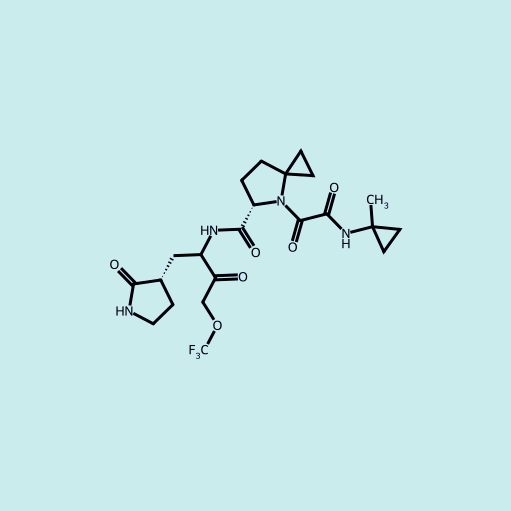 CC1(NC(=O)C(=O)N2[C@H](C(=O)NC(C[C@@H]3CCNC3=O)C(=O)COC(F)(F)F)CCC23CC3)CC1